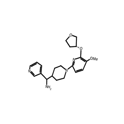 COc1ccc(N2CCC(C(N)c3cccnc3)CC2)nc1O[C@@H]1CCOC1